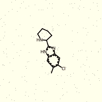 Cc1cc2[nH]c(C3CCCCN3)nc2cc1Cl